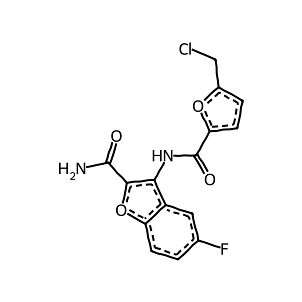 NC(=O)c1oc2ccc(F)cc2c1NC(=O)c1ccc(CCl)o1